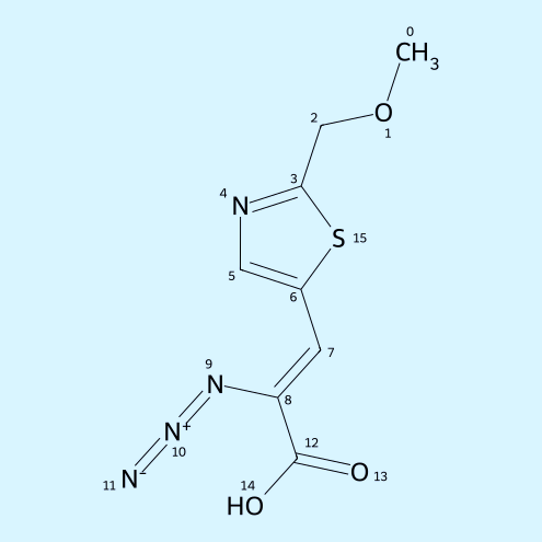 COCc1ncc(/C=C(\N=[N+]=[N-])C(=O)O)s1